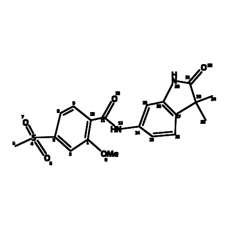 COc1cc(S(C)(=O)=O)ccc1C(=O)Nc1ccc2c(c1)NC(=O)C2(C)C